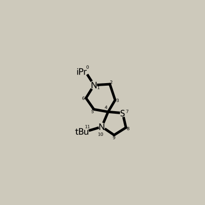 CC(C)N1CCC2(CC1)SCCN2C(C)(C)C